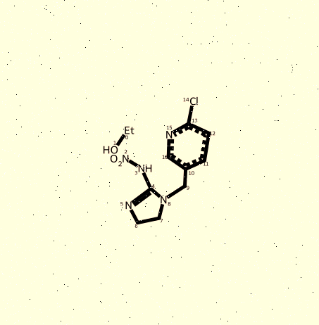 CCO.O=[N+]([O-])NC1=NCCN1Cc1ccc(Cl)nc1